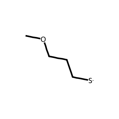 COCCC[S]